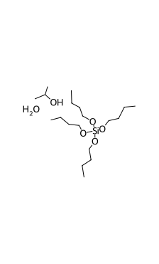 CC(C)O.CCCCO[Si](OCCCC)(OCCCC)OCCCC.O